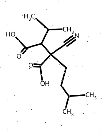 CC(C)CCC(C#N)(C(=O)O)C(C(=O)O)C(C)C